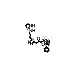 NC(C(=O)Cc1nnc(CCCN[C@@H]2N=CCN2)s1)C(NS(=O)(=O)c1ccccc1)C(=O)O